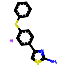 I.Nc1nc(-c2ccc(Sc3ccccc3)cc2)cs1